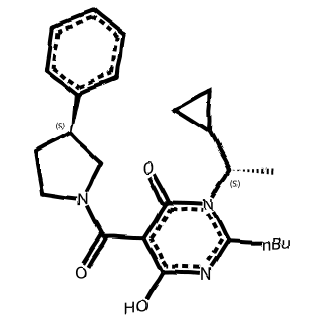 CCCCc1nc(O)c(C(=O)N2CC[C@@H](c3ccccc3)C2)c(=O)n1[C@@H](C)C1CC1